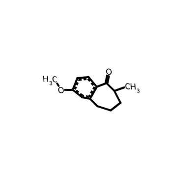 COc1ccc2c(c1)CCCC(C)C2=O